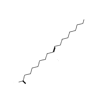 CCCCCCCCC=CCCCCCCCC(=O)O.[Nd]